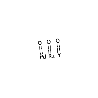 [O]=[Pd].[O]=[Ru].[O]=[Y]